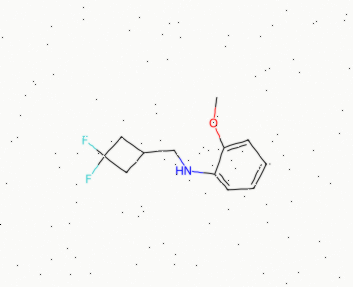 COc1c[c]ccc1NCC1CC(F)(F)C1